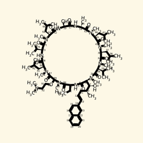 CCC1NC(=O)[C@H]([C@H](O)[C@H](C)C/C=C/c2ccc3ccccc3c2)N(C)C(=O)[C@H](C(C)C)N(C)C(=O)[C@H](CC(C)C)N(C)C(=O)[C@H](CC(C)C)N(C)C(=O)[C@@H](C)NC(=O)[C@H](C)NC(=O)[C@H](CC(C)C)N(C)C(=O)[C@H](C(C)C)NC(=O)[C@H](CC(C)C)N(C)C(=O)C(OCCN(C)C)N(C)C1=O